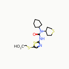 O=C(O)CSc1cnc(NC(=O)N(C2CCCCC2)C2CCSCC2)s1